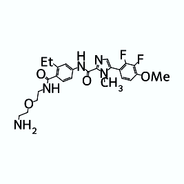 CCc1cc(NC(=O)c2ncc(-c3ccc(OC)c(F)c3F)n2C)ccc1C(=O)NCCOCCN